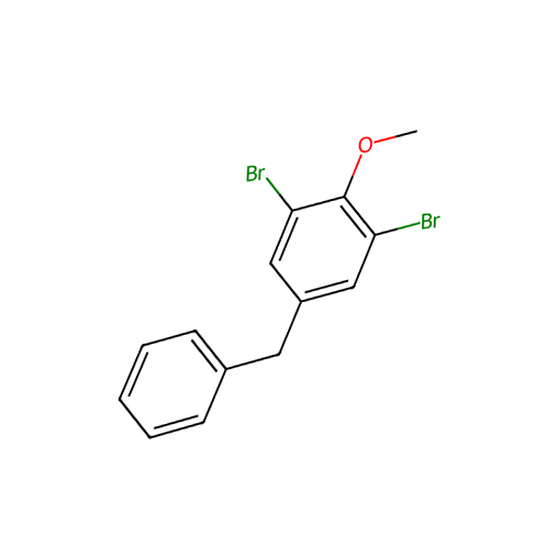 COc1c(Br)cc(Cc2ccccc2)cc1Br